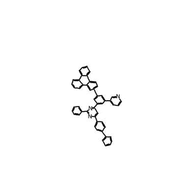 c1ccc(-c2ccc(-c3cc(-c4cc(-c5cccnc5)cc(-c5ccc6c7ccccc7c7ccccc7c6c5)c4)nc(-c4ccccc4)n3)cc2)cc1